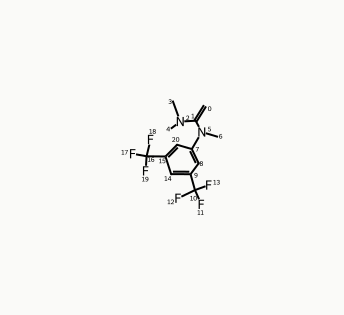 C=C(N(C)C)N(C)c1cc(C(F)(F)F)cc(C(F)(F)F)c1